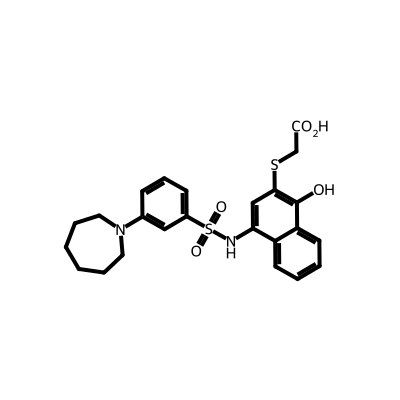 O=C(O)CSc1cc(NS(=O)(=O)c2cccc(N3CCCCCC3)c2)c2ccccc2c1O